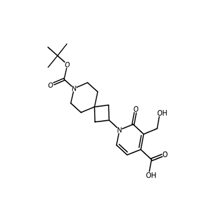 CC(C)(C)OC(=O)N1CCC2(CC1)CC(n1ccc(C(=O)O)c(CO)c1=O)C2